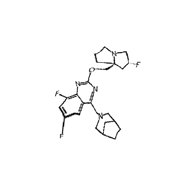 Fc1cc(F)c2nc(OC[C@@]34CCCN3C[C@H](F)C4)nc(N3CC4CCC(C4)C3)c2c1